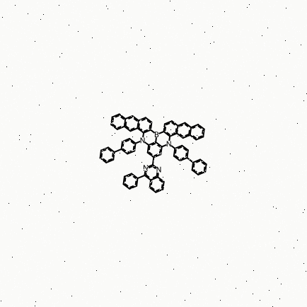 c1ccc(-c2ccc(N3c4cc(-c5nc(-c6ccccc6)c6ccccc6n5)cc5c4B(c4ccc6cc7ccccc7cc6c43)c3ccc4cc6ccccc6cc4c3N5c3ccc(-c4ccccc4)cc3)cc2)cc1